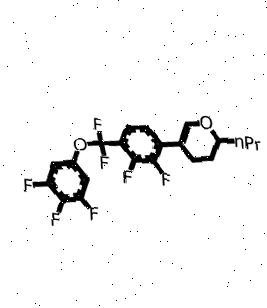 CCCC1CCC(c2ccc(C(F)(F)Oc3cc(F)c(F)c(F)c3)c(F)c2F)=CO1